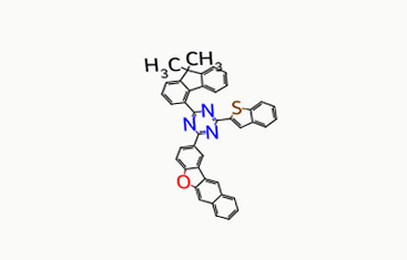 CC1(C)c2ccccc2-c2c(-c3nc(-c4ccc5oc6cc7ccccc7cc6c5c4)nc(-c4cc5ccccc5s4)n3)cccc21